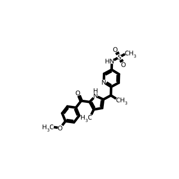 COc1ccc(C(=O)c2[nH]c(C(C)c3ccc(NS(C)(=O)=O)cn3)cc2C)cc1